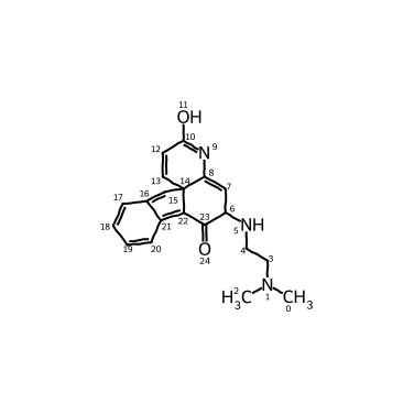 CN(C)CCNC1C=C2N=C(O)C=CC23C=c2ccccc2=C3C1=O